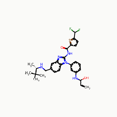 C=CC(O)Nc1cccc(-n2c(NC(=O)c3ccc(C(F)F)s3)nc3cc(CN[C@@H](C)C(C)(C)C)ccc32)c1